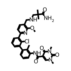 COc1nc(-c2cccc(-c3cccc(NC(=O)c4cn(C)c(=O)n(C)c4=O)c3C)c2Cl)ccc1CNCC(C)(C)C(N)=O